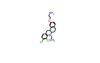 CCNC1CCc2ccc(OCCN)cc2C1Cc1ccc(Cl)c(Cl)c1